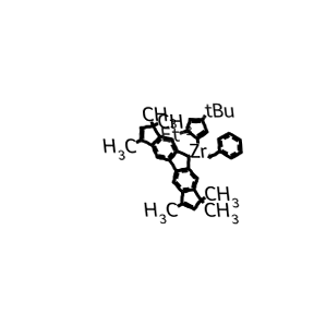 CCC1C=C(C(C)(C)C)C=[C]1[Zr](=[CH]c1ccccc1)[CH]1c2cc3c(cc2-c2cc4c(cc21)C(C)(C)C=C4C)C(C)=CC3(C)C